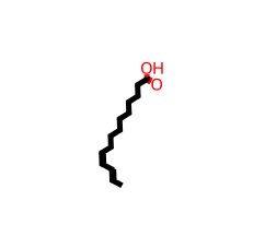 C/C=C/C=C\CCCCCCCCC(=O)O